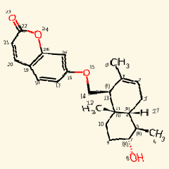 CC1=CC[C@@H]2[C@@H](C)[C@H](O)CC[C@]2(C)[C@H]1COc1ccc2ccc(=O)oc2c1